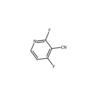 N#Cc1c(F)ccnc1F